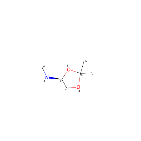 C[N][C@@H]1COC(C)(C)O1